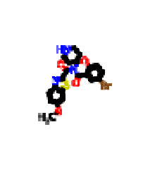 COc1ccc2nc(C(=O)N3C(=O)c4cc(Br)ccc4OC34CCNCC4)sc2c1